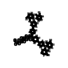 Cc1cccc([S+](c2ccc(-c3ccc([I+]c4ccc(-c5ccc([S+](c6cccc(C)c6C)c6cccc(C)c6C)cc5)cc4)cc3)cc2)c2cccc(C)c2C)c1C.[O-][Cl+3]([O-])([O-])[O-].[O-][Cl+3]([O-])([O-])[O-].[O-][Cl+3]([O-])([O-])[O-]